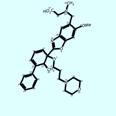 COc1cc2oc(C3(OCCCN4CCOCC4)C=CC=C(c4ccccc4)C3C)nc2cc1CN(C)CC(=O)O